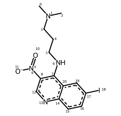 CN(C)CCCNc1c([N+](=O)[O-])cnc2ccc(I)cc12